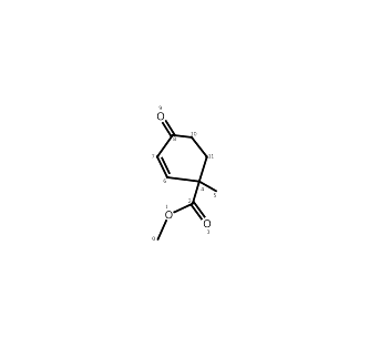 COC(=O)C1(C)C=CC(=O)CC1